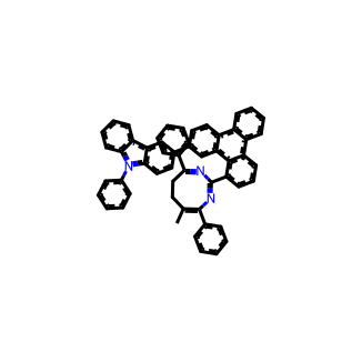 C/C1=C(c2ccccc2)/N=C(c2cccc3c4ccccc4c4ccc(-c5ccc6c(c5)c5ccccc5n6-c5ccccc5)cc4c23)\N=C(\c2ccccc2)CC1